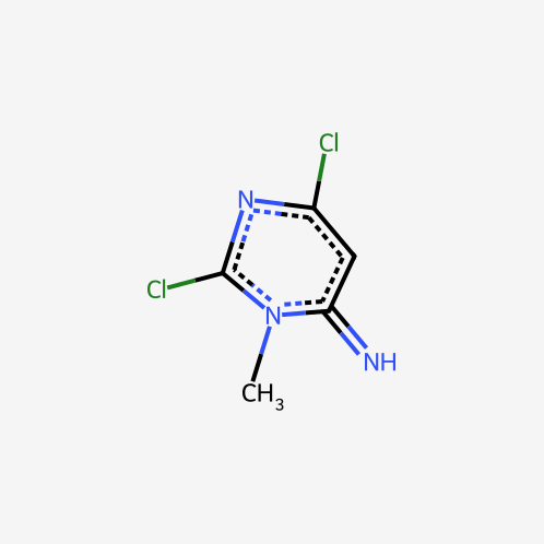 Cn1c(Cl)nc(Cl)cc1=N